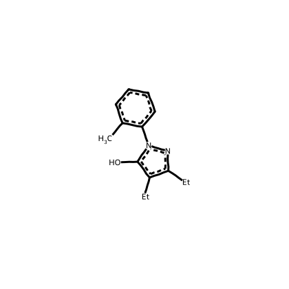 CCc1nn(-c2ccccc2C)c(O)c1CC